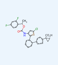 CC(OC(=O)Nc1cc(Cl)sc1-c1ccccc1-c1ccc(C2(C(=O)O)CC2)cc1)c1ccc(F)cc1F